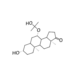 CC(C)(O)O[C@H]1CC2C[C@@H](O)CC[C@]2(C)C2CC[C@]3(C)C(=O)CCC3C21